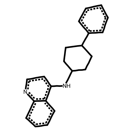 c1ccc(C2CCC(Nc3ccnc4ccccc34)CC2)cc1